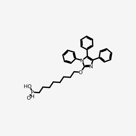 O=[PH](O)CCCCCCCCOc1nc(-c2ccccc2)c(-c2ccccc2)n1-c1ccccc1